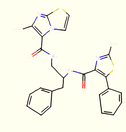 Cc1nc(C(=O)NC(CNC(=O)c2c(C)nc3sccn23)Cc2ccccc2)c(-c2ccccc2)s1